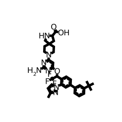 Cc1ccn(-c2cc(-c3cccc(C(C)(C)C)c3)ccc2C(Oc2cc(N3CCC4(CC3)CNC(C(=O)O)C4)nc(N)n2)C(F)(F)F)n1